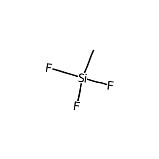 C[Si](F)(F)F